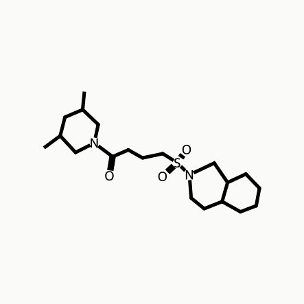 CC1CC(C)CN(C(=O)CCCS(=O)(=O)N2CCC3CCCCC3C2)C1